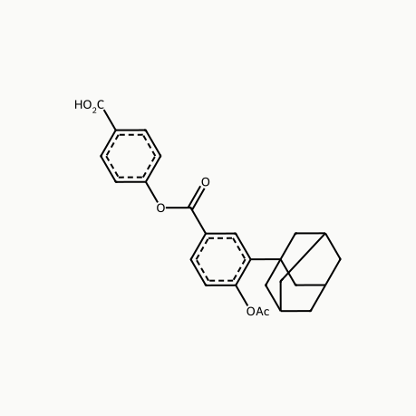 CC(=O)Oc1ccc(C(=O)Oc2ccc(C(=O)O)cc2)cc1C12CC3CC(CC(C3)C1)C2